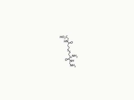 NCNC(=O)[C@@H](N)CSSCCC(=O)NCC(=O)O